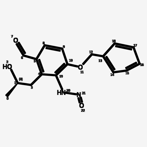 C[C@@H](O)Cc1c(C=O)ccc(OCc2ccccc2)c1NN=O